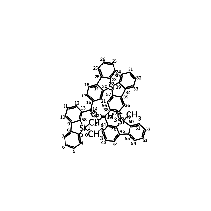 C[Si]1(C)c2ccccc2-c2cccc(C(=O)c3ccc4c(c3)[Si]3(c5ccccc5-4)c4ccccc4-c4ccc(C(=O)c5cccc6c5[Si](C)(C)c5ccccc5-6)cc43)c21